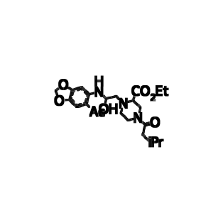 CCOC(=O)C1CN(C(=O)CC(C)C)CCN1CC(O)Nc1cc2c(cc1C(C)=O)OCO2